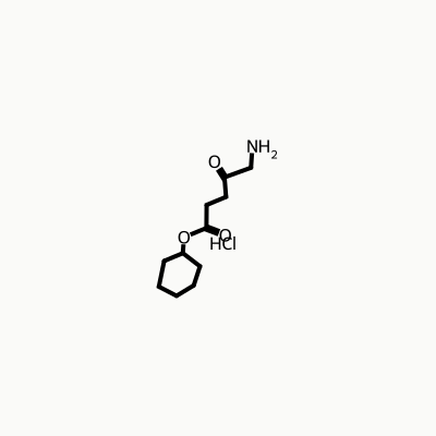 Cl.NCC(=O)CCC(=O)OC1CCCCC1